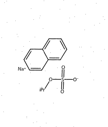 CC(C)OS(=O)(=O)[O-].[Na+].c1ccc2ccccc2c1